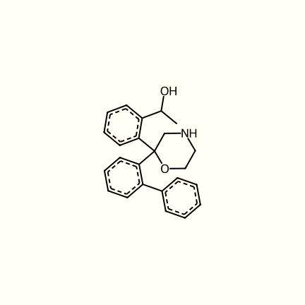 CC(O)c1ccccc1C1(c2ccccc2-c2ccccc2)CNCCO1